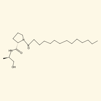 CCCCCCCCCCCCCC(=O)N1CCC[C@H]1C(=O)N[C@H](C)CO